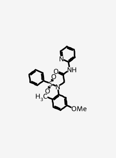 COc1ccc(C)c(N(CC(=O)Nc2ccccn2)S(=O)(=O)c2ccccc2)c1